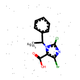 CC(c1ccccc1)n1c(Cl)nc(Br)c1C(=O)O.[Ag]